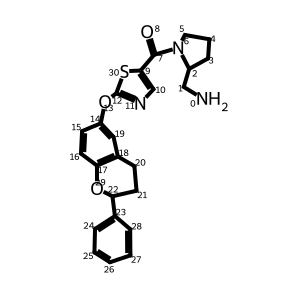 NCC1CCCN1C(=O)c1cnc(Oc2ccc3c(c2)CCC(c2ccccc2)O3)s1